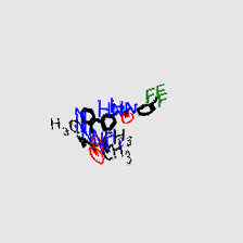 CN(C)OC(=O)C1(N2C(N)c3c(-c4cccc(NC(=O)Nc5cccc(C(F)(F)F)c5)c4)ccnc3N2C)CC1